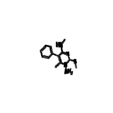 CNC1=NC(SC)N(N)C(C)=C1c1ccccc1